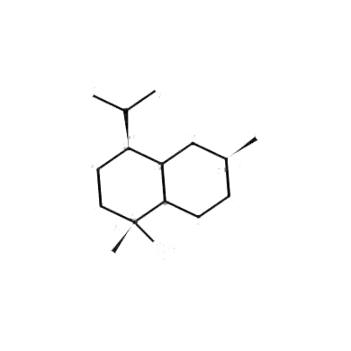 CC(C)[C@@H]1CC[C@@](C)(O)C2CC[C@H](C)CC21